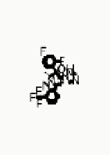 C[C@@H](n1nc2c(C(F)(F)F)cccc2c1F)[C@](O)(Cn1cncn1)c1ccc(F)cc1F